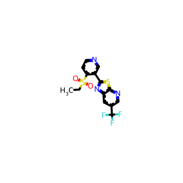 CCS(=O)(=O)c1ccncc1-c1nc2cc(C(F)(F)F)cnc2s1